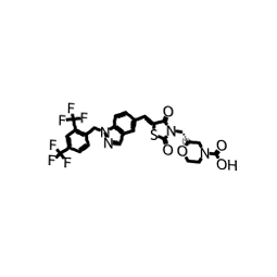 O=C(O)N1CCO[C@H](CN2C(=O)SC(=Cc3ccc4c(cnn4Cc4ccc(C(F)(F)F)cc4C(F)(F)F)c3)C2=O)C1